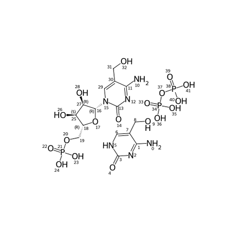 Nc1nc(=O)[nH]cc1CO.Nc1nc(=O)n([C@@H]2O[C@H](COP(=O)(O)O)[C@@H](O)[C@H]2O)cc1CO.O=P(O)(O)OP(=O)(O)O